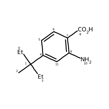 CCC(C)(CC)c1ccc(C(=O)O)c(N)c1